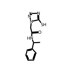 CC(NC(=O)Cn1nnnc1S)c1ccccc1